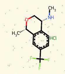 CN[C@H]1CO[C@@H](C)c2cc(C(F)(F)F)ccc21.Cl